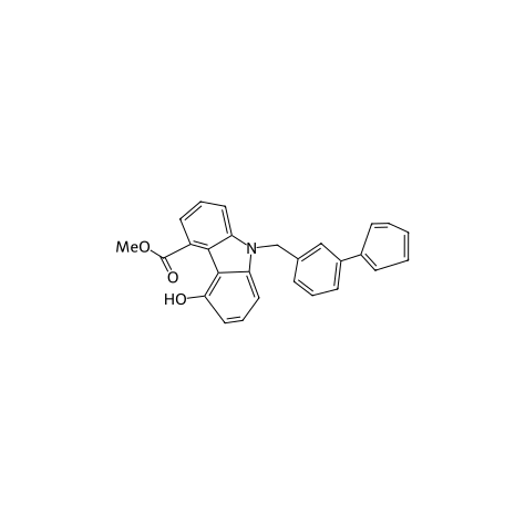 COC(=O)c1cccc2c1c1c(O)cccc1n2Cc1cccc(-c2ccccc2)c1